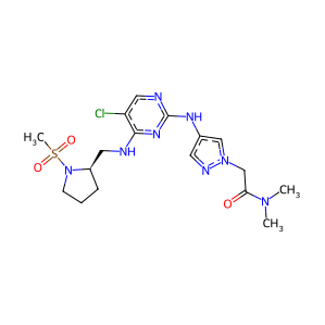 CN(C)C(=O)Cn1cc(Nc2ncc(Cl)c(NC[C@H]3CCCN3S(C)(=O)=O)n2)cn1